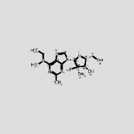 CCN(C)c1nc(C)nc2c1ncn2[C@@H]1O[C@H](CO)[C@@H](O)[C@@]1(C)F